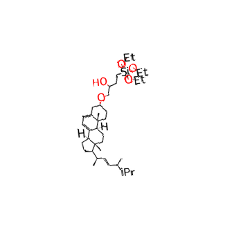 CCO[Si](CCC(O)CO[C@H]1CC[C@@]2(C)C(=CC=C3[C@@H]4CC[C@H]([C@H](C)/C=C/[C@@H](C)C(C)C)[C@@]4(C)CC[C@@H]32)C1)(OCC)OCC